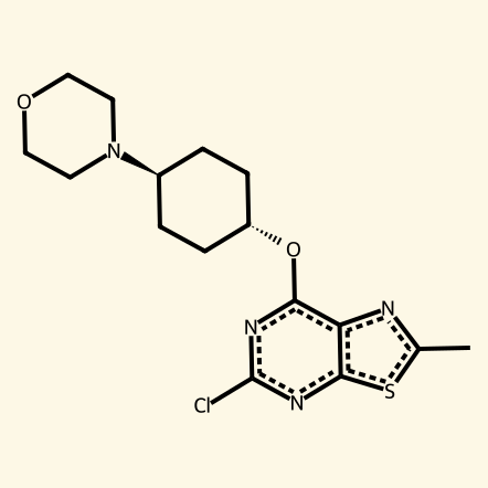 Cc1nc2c(O[C@H]3CC[C@H](N4CCOCC4)CC3)nc(Cl)nc2s1